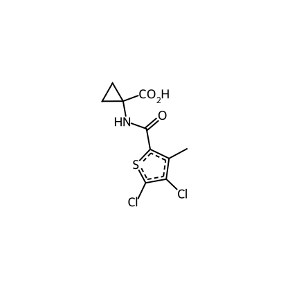 Cc1c(C(=O)NC2(C(=O)O)CC2)sc(Cl)c1Cl